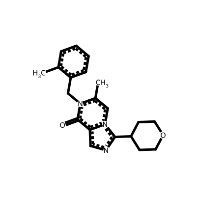 Cc1ccccc1Cn1c(C)cn2c(C3CCOCC3)ncc2c1=O